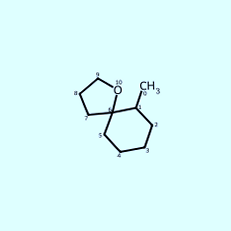 CC1CCCCC12CCCO2